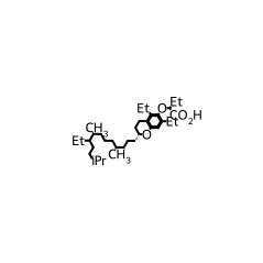 CCc1cc2c(c(CC)c1OC(CC)C(=O)O)CC[C@@H](CCC[C@H](C)CCC[C@@H](C)C(CC)CCC(C)C)O2